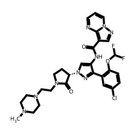 CN1CCN(CCN2CC[C@H](n3cc(NC(=O)c4cnn5cccnc45)c(-c4cc(Cl)ccc4OC(F)F)n3)C2=O)CC1